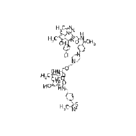 Cc1ncsc1-c1ccc(CNC(=O)[C@@H]2C[C@@H](O)CN2C(=O)C(NC(=O)COCCN2CCN(c3ccc([C@@H](C)NC(=O)C[C@@H]4N=C(c5ccc(Cl)cc5)c5c(sc(C)c5C)-n5c(C)nnc54)cc3)CC2)C(C)(C)C)cc1